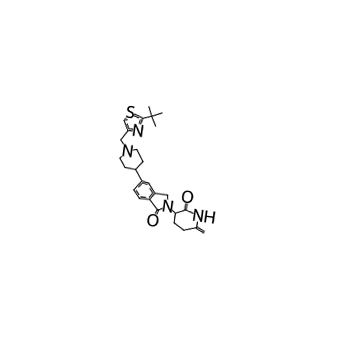 C=C1CCC(N2Cc3cc(C4CCN(Cc5csc(C(C)(C)C)n5)CC4)ccc3C2=O)C(=O)N1